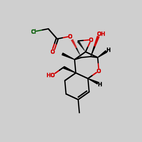 CC1=C[C@H]2O[C@@H]3[C@H](O)[C@@H](OC(=O)CCl)[C@](C)([C@@]2(CO)CC1)[C@]31CO1